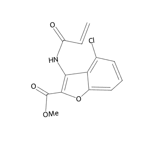 C=CC(=O)Nc1c(C(=O)OC)oc2cccc(Cl)c12